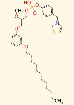 CCCCCCCCCCCCOc1cccc(OCC(COP(=O)(O)Oc2ccc(CN3C=CSC3)cc2)OC)c1